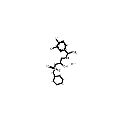 CC(NCC(O)CP(=O)(O)CC1CCCCC1)c1ccc(I)c(Cl)c1.Cl